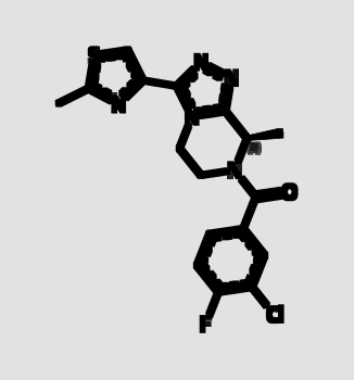 Cc1nc(-c2nnc3n2CCN(C(=O)c2ccc(F)c(Cl)c2)[C@@H]3C)cs1